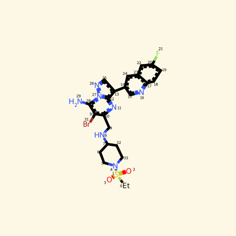 CCS(=O)(=O)N1CCC(NCc2nc3c(-c4cnc5ccc(F)cc5c4)cnn3c(N)c2Br)CC1